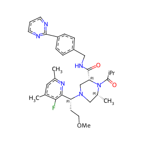 COCC[C@H](c1nc(C)cc(C)c1F)N1C[C@@H](C)N(C(=O)C(C)C)[C@@H](C(=O)NCc2ccc(-c3ncccn3)cc2)C1